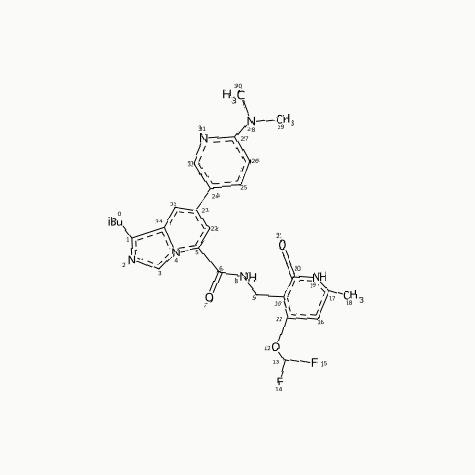 CCC(C)c1ncn2c(C(=O)NCc3c(OC(F)F)cc(C)[nH]c3=O)cc(-c3ccc(N(C)C)nc3)cc12